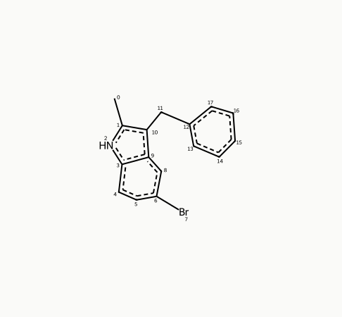 Cc1[nH]c2ccc(Br)cc2c1Cc1ccccc1